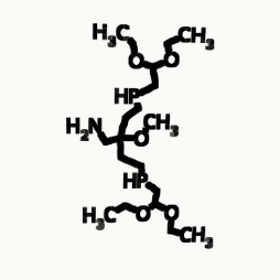 CCOC(CPCCC(CN)(CCPCC(OCC)OCC)OC)OCC